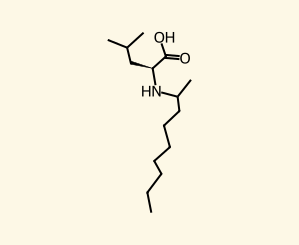 CCCCCCCC(C)N[C@@H](CC(C)C)C(=O)O